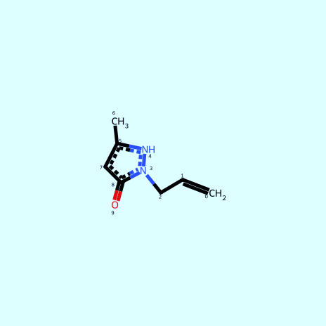 C=CCn1[nH]c(C)cc1=O